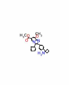 COC(=O)c1cc(OC)c2nc(-c3ccc(C4(N)CCC4)cc3)c(-c3ccccc3)n2c1